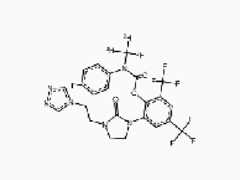 [2H]C([2H])([2H])N(C(=O)Oc1c(N2CCN(CCn3cnnc3)C2=O)cc(C(F)(F)F)cc1C(F)(F)F)c1ccc(F)cc1